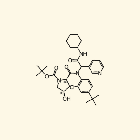 CC(C)(C)OC(=O)N1C[C@H](O)C[C@@H]1C(=O)N(c1ccc(C(C)(C)C)cc1Cl)C(C(=O)NC1CCCCC1)c1cccnc1